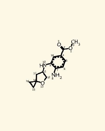 COC(=O)c1ccc(N)c(NC2COC3(CC3)C2)c1